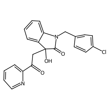 O=C(CC1(O)C(=O)N(Cc2ccc(Cl)cc2)c2ccccc21)c1ccccn1